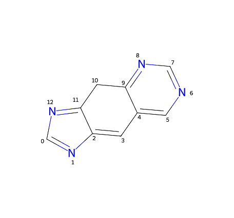 C1=NC2=Cc3cncnc3CC2=N1